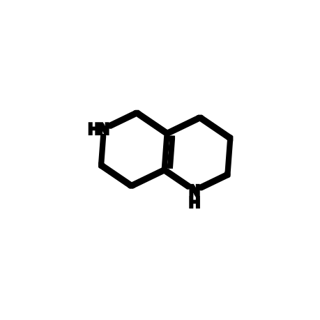 C1CNC2=C(C1)CNCC2